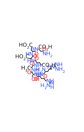 CC(NC(=O)C(CO)NC(=O)C(CCCNC(=N)N)NC(=O)C(N)CCCNC(=N)N)C(=O)NC(CCC(=O)O)C(=O)NC(CC(=O)O)C(=O)NC(CCC(=O)O)C(=O)NC(CC(N)=O)C(=O)O